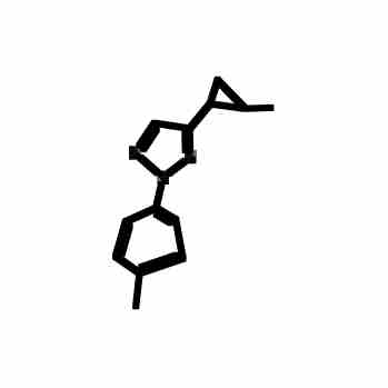 Cc1ccc(-n2ncc(C3CC3C)n2)cc1